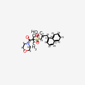 CC(C)(C(=O)N1CCOCC1)S(=O)(=O)C[C@@H](Cc1cccc2ccccc12)C(=O)O